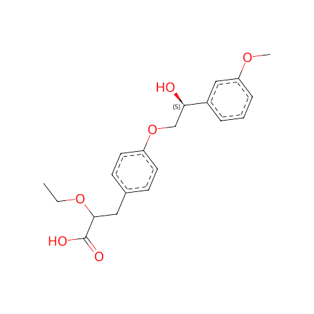 CCOC(Cc1ccc(OC[C@@H](O)c2cccc(OC)c2)cc1)C(=O)O